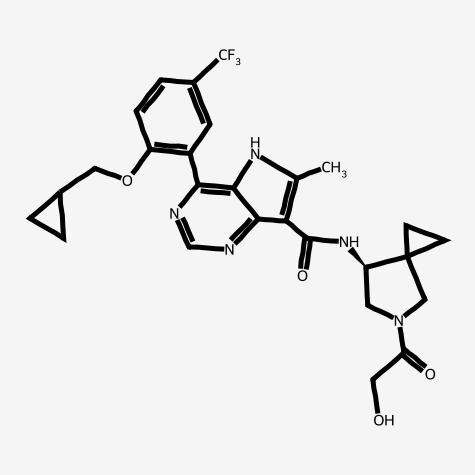 Cc1[nH]c2c(-c3cc(C(F)(F)F)ccc3OCC3CC3)ncnc2c1C(=O)N[C@@H]1CN(C(=O)CO)CC12CC2